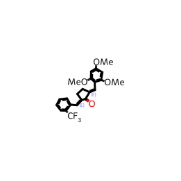 COc1cc(OC)c(/C=C2\CC/C(=C\c3ccccc3C(F)(F)F)C2=O)c(OC)c1